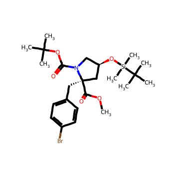 COC(=O)[C@]1(Cc2ccc(Br)cc2)C[C@H](O[Si](C)(C)C(C)(C)C)CN1C(=O)OC(C)(C)C